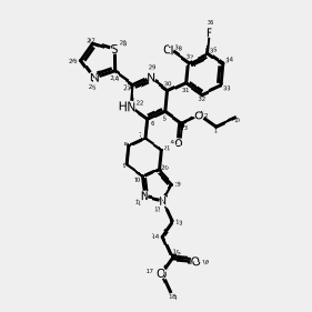 CCOC(=O)C1=C(C2CCc3nn(CCC(=O)OC)cc3C2)NC(c2nccs2)=NC1c1cccc(F)c1Cl